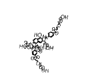 O=S(=O)(O)CNc1ccc2c(O)c(/N=N/c3ccc(S(=O)(=O)CCOSOOO)cc3)c(SOOO)cc2c1/N=N/c1ccc(S(=O)(=O)CCOSOOO)cc1S(=O)(=O)O